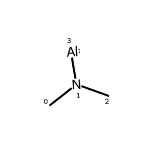 C[N](C)[Al]